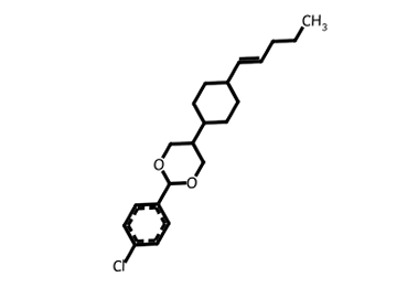 CCC/C=C/C1CCC(C2COC(c3ccc(Cl)cc3)OC2)CC1